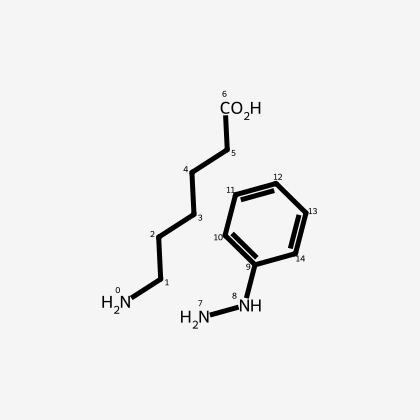 NCCCCCC(=O)O.NNc1ccccc1